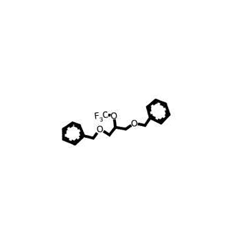 FC(F)(F)OC(COCc1ccccc1)COCc1ccccc1